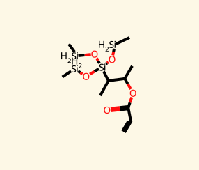 C=CC(=O)OC(C)C(C)[Si](O[SiH2]C)(O[SiH2]C)O[SiH2]C